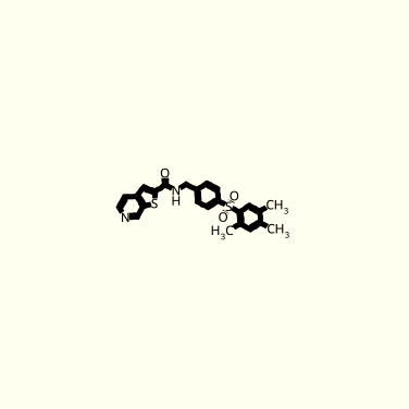 Cc1cc(C)c(S(=O)(=O)c2ccc(CNC(=O)c3cc4ccncc4s3)cc2)cc1C